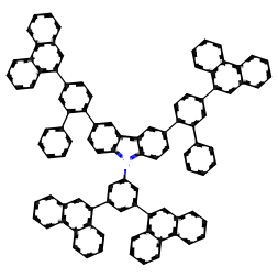 c1ccc(-c2cc(-c3cc4ccccc4c4ccccc34)ccc2-c2ccc3c(c2)c2cc(-c4ccc(-c5cc6ccccc6c6ccccc56)cc4-c4ccccc4)ccc2n3-c2cc(-c3cc4ccccc4c4ccccc34)cc(-c3cc4ccccc4c4ccccc34)c2)cc1